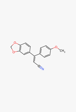 COc1ccc(C(=CC#N)c2ccc3c(c2)OCO3)cc1